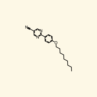 CCCCCCCCCOc1ccc(-c2ncc(C#N)cn2)cc1